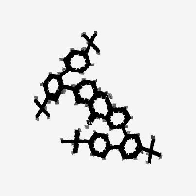 CC(C)(C)c1ccc(-c2ccc(C(C)(C)C)cc2-c2ccc3sc4ccc(-c5cc(C(C)(C)C)ccc5-c5ccc(C(C)(C)C)cc5)cc4c(=O)c3c2)cc1